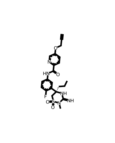 C#CCOc1ccc(C(=O)Nc2ccc(F)c([C@]3(CCC)CS(=O)(=O)N(C)C(=N)N3)c2)nc1